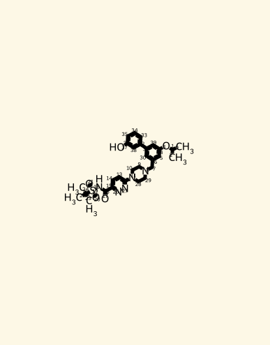 CC(C)Oc1cc(CN2CCN(c3ccc(C(=O)NS(=O)(=O)C(C)(C)C)nn3)CC2)cc(-c2cccc(O)c2)c1